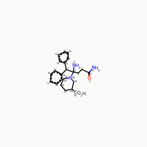 NC(=O)CCC(N)(C(c1ccccc1)c1ccccc1)N1CCCC(C(=O)O)C1